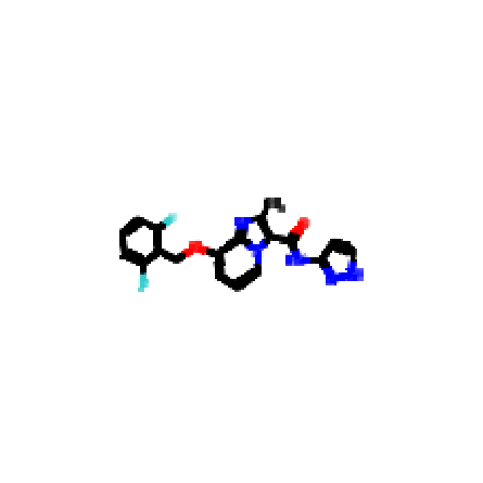 Cc1nc2c(OCc3c(F)cccc3F)cccn2c1C(=O)Nc1cc[nH]n1